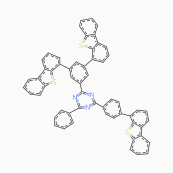 c1ccc(-c2nc(-c3ccc(-c4cccc5c4sc4ccccc45)cc3)nc(-c3cc(-c4cccc5c4sc4ccccc45)cc(-c4cccc5c4sc4ccccc45)c3)n2)cc1